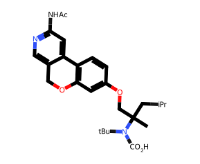 CC(=O)Nc1cc2c(cn1)COc1cc(OCC(C)(CC(C)C)N(C(=O)O)C(C)(C)C)ccc1-2